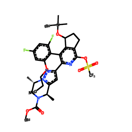 COCCOc1cc(F)cc(F)c1-c1c(-c2cc3n(n2)[C@@H](C)CN(C(=O)OC(C)(C)C)[C@@H]3C)nc(OS(=O)(=O)C(F)(F)F)c2c1C(O[Si](C)(C)C(C)(C)C)CC2